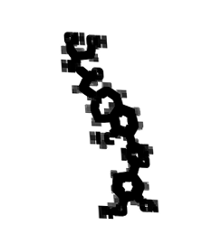 Cc1c(-c2noc(-c3ccc(OC(C)C)c(C#N)c3)n2)ccc2c1CCN(CC(=O)NC(CO)CO)CC2